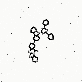 O=c1c2cc(-c3ccc4c(c3)c3ccccc3n4-c3nc(-c4ccccc4)nc(-c4ccccc4)n3)ccc2nc2sc3ccccc3n12